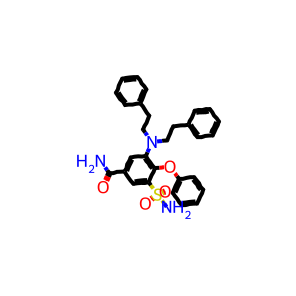 NC(=O)c1cc(N(CCc2ccccc2)CCc2ccccc2)c(Oc2ccccc2)c(S(N)(=O)=O)c1